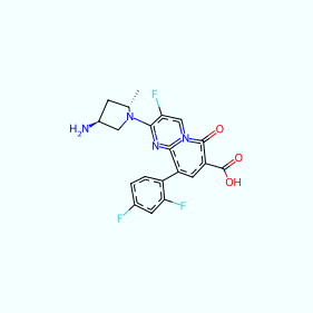 C[C@H]1C[C@H](N)CN1c1nc2c(-c3ccc(F)cc3F)cc(C(=O)O)c(=O)n2cc1F